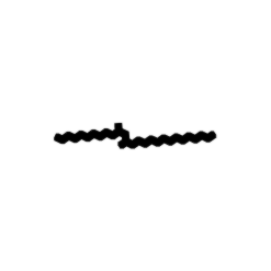 CCCCCCCCCCCCCCC(C)CC(C)CCCCCCCCCC